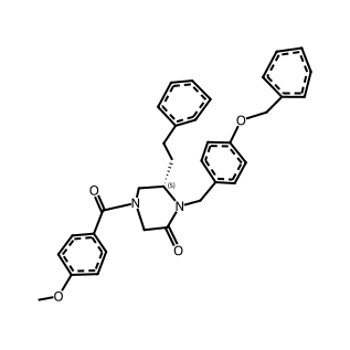 COc1ccc(C(=O)N2CC(=O)N(Cc3ccc(OCc4ccccc4)cc3)[C@@H](CCc3ccccc3)C2)cc1